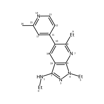 CCNc1nn(CC)c2nc(CC)c(-c3ccnc(C)c3)cc12